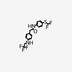 O=C(Cc1ccc(NCC(F)(F)F)cc1)Nc1ccc(SC(F)F)cc1